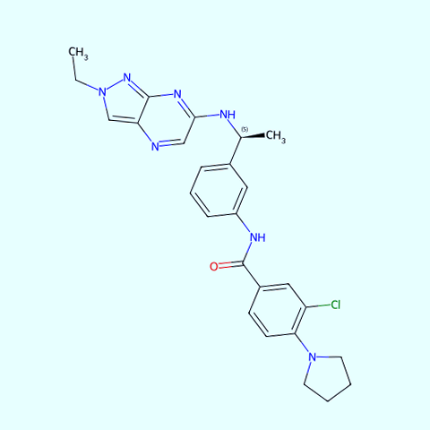 CCn1cc2ncc(N[C@@H](C)c3cccc(NC(=O)c4ccc(N5CCCC5)c(Cl)c4)c3)nc2n1